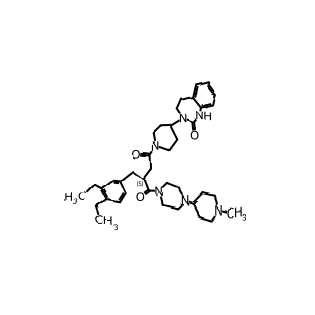 CCc1ccc(C[C@@H](CC(=O)N2CCC(N3CCc4ccccc4NC3=O)CC2)C(=O)N2CCN(C3CCN(C)CC3)CC2)cc1CC